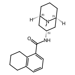 CN1[C@@H]2CCC[C@H]1C[C@H](NC(=O)c1cccc3c1CCCC3)C2